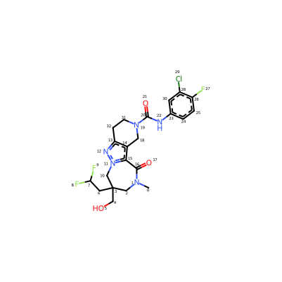 CN1CC(CO)(CC(F)F)Cn2nc3c(c2C1=O)CN(C(=O)Nc1ccc(F)c(Cl)c1)CC3